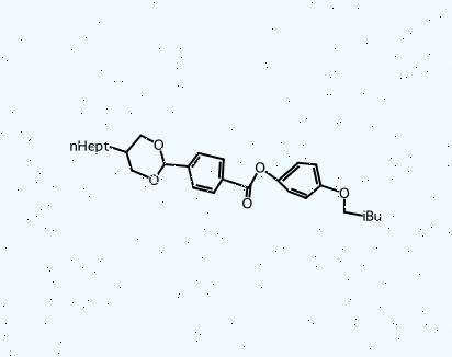 CCCCCCCC1COC(c2ccc(C(=O)Oc3ccc(OCC(C)CC)cc3)cc2)OC1